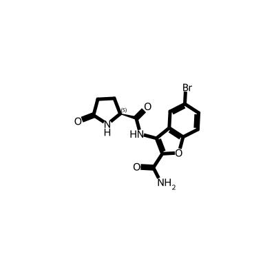 NC(=O)c1oc2ccc(Br)cc2c1NC(=O)[C@@H]1CCC(=O)N1